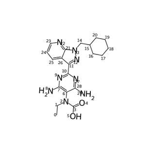 CCN(C(=O)O)c1c(N)nc(-c2nn(CC3CCCCC3)c3ncccc23)nc1N